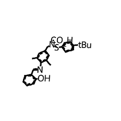 Cc1cc(CN(Sc2ccc(C(C)(C)C)cc2)C(=O)O)cc(C)c1N=Cc1ccccc1O